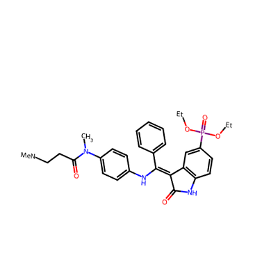 CCOP(=O)(OCC)c1ccc2c(c1)/C(=C(/Nc1ccc(N(C)C(=O)CCNC)cc1)c1ccccc1)C(=O)N2